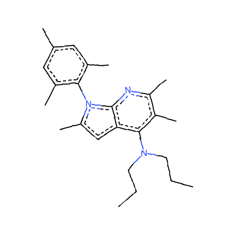 CCCN(CCC)c1c(C)c(C)nc2c1cc(C)n2-c1c(C)cc(C)cc1C